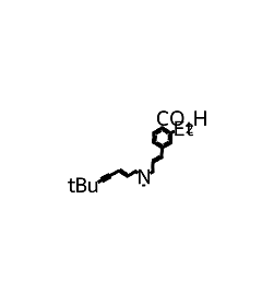 CCc1cc(C=CCN(C)CC=CC#CC(C)(C)C)ccc1C(=O)O